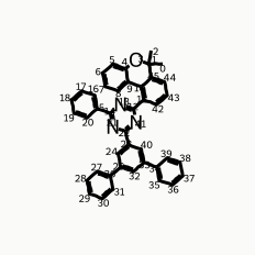 CC1(C)Oc2ccccc2-c2c(-c3nc(-c4ccccc4)nc(-c4cc(-c5ccccc5)cc(-c5ccccc5)c4)n3)cccc21